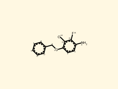 Nc1ccc(OCc2ccccc2)c(Cl)c1F